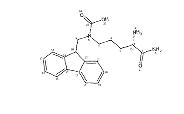 NC(=O)[C@@H](N)CCCN(CC1c2ccccc2-c2ccccc21)C(=O)O